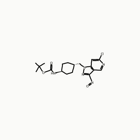 CC(C)(C)OC(=O)N[C@H]1CC[C@H](Cn2nc(N=O)c3cnc(Cl)cc32)CC1